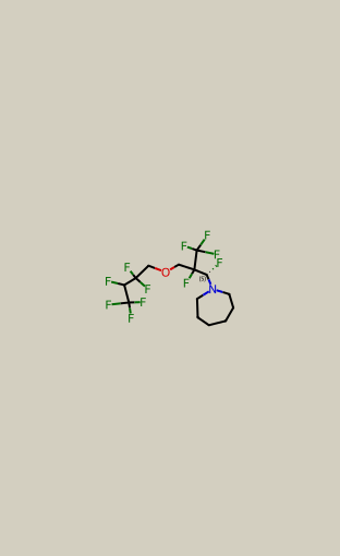 FC(C(F)(F)F)C(F)(F)COCC(F)([C@H](F)N1CCCCCC1)C(F)(F)F